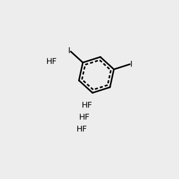 F.F.F.F.Ic1cccc(I)c1